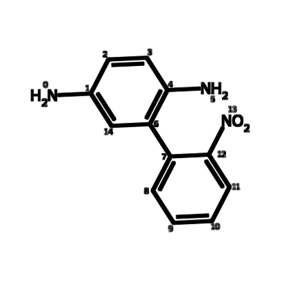 Nc1ccc(N)c(-c2ccccc2[N+](=O)[O-])c1